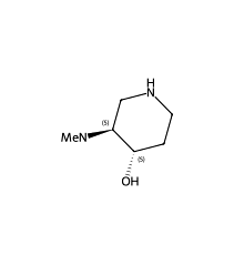 CN[C@H]1CNCC[C@@H]1O